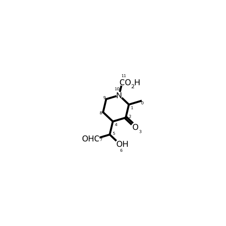 CC1C(=O)C(C(O)C=O)CCN1C(=O)O